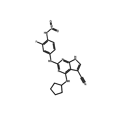 N#Cc1c[nH]c2nc(Nc3ccc(N[SH](=O)=O)c(F)c3)nc(NC3CCCC3)c12